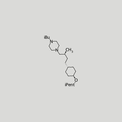 CCCC(C)O[C@H]1CC[C@H](CC[C@H](C)CN2CCN(C(C)CC)CC2)CC1